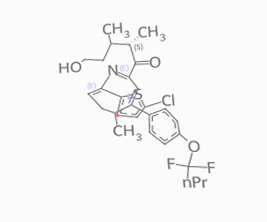 CCCC(F)(F)Oc1ccc(/C2=C/C(C(=O)[C@@H](C)C(C)CCO)=N\C(c3ccc(Cl)s3)=C\CC2C)cc1